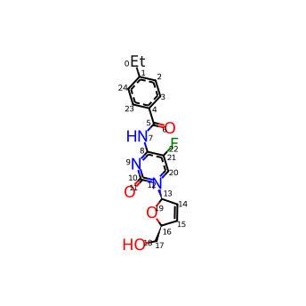 CCc1ccc(C(=O)Nc2nc(=O)n([C@H]3C=C[C@@H](CO)O3)cc2F)cc1